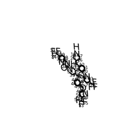 FC(F)(F)c1ccc(Oc2cccc(CC3CCNCC3)c2)nc1.O=C(Nc1ccc(C(F)(F)F)cn1)N1CCC(Cc2cccc(Oc3ccc(C(F)(F)F)cn3)c2)CC1